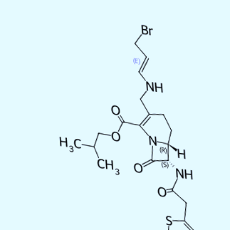 CC(C)COC(=O)C1=C(CN/C=C/CBr)CC[C@@H]2[C@H](NC(=O)Cc3cccs3)C(=O)N12